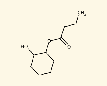 CCCC(=O)OC1CCCCC1O